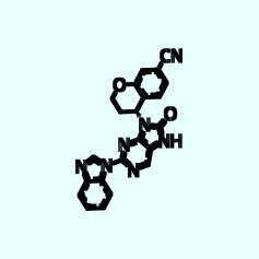 N#Cc1ccc2c(c1)OCC[C@H]2n1c(=O)[nH]c2cnc(-n3cnc4ccccc43)nc21